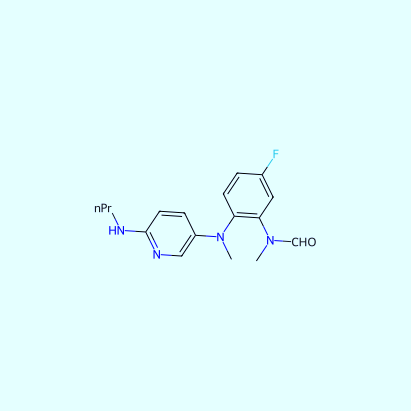 CCCNc1ccc(N(C)c2ccc(F)cc2N(C)C=O)cn1